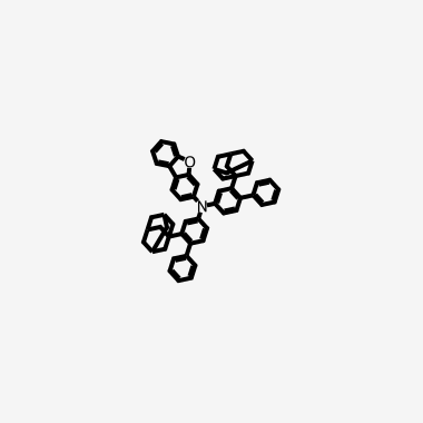 c1ccc(-c2ccc(N(c3ccc(-c4ccccc4)c(C45CC6CC(CC(C6)C4)C5)c3)c3ccc4c(c3)oc3ccccc34)cc2C23CC4CC(CC(C4)C2)C3)cc1